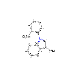 N#Cc1cn(-c2ccccc2[N+](=O)[O-])c2ccccc12